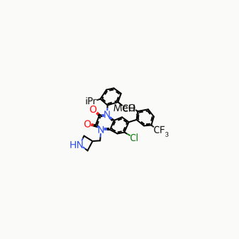 COc1ccc(C(F)(F)F)cc1-c1cc2c(cc1Cl)n(CC1CNC1)c(=O)c(=O)n2-c1c(C)cccc1C(C)C